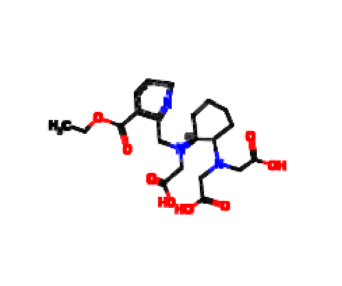 CCOC(=O)c1cccnc1CN(CC(=O)O)[C@H]1CCCCC1N(CC(=O)O)CC(=O)O